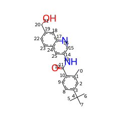 Cc1cc(C(C)(C)C)ccc1C(=O)Nc1cnc2cc(CO)ccc2c1